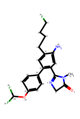 CN1C(=O)CN=C1c1cc(N)c(CCCCF)cc1-c1ccc(OC(F)F)cc1